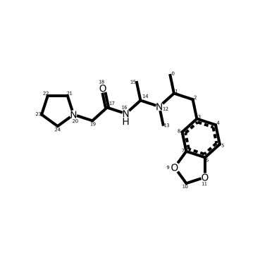 CC(Cc1ccc2c(c1)OCO2)N(C)C(C)NC(=O)CN1CCCC1